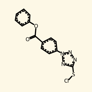 O=C(Oc1ccccc1)c1ccc(-n2nnc(SCl)n2)cc1